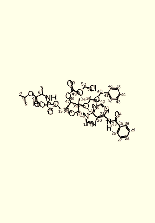 CC(C)OC(=O)C(C)NP(=O)(O)OC[C@H]1O[C@@H](n2cnc3c(NC(=O)c4ccccc4)ncnc32)[C@@](C)(OCOCc2ccccc2)C1OC(=O)OCCl